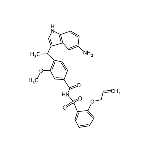 C=CCOc1ccccc1S(=O)(=O)NC(=O)c1ccc(C(C)c2c[nH]c3ccc(N)cc23)c(OC)c1